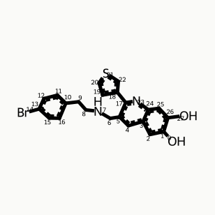 Oc1cc2cc(CNCCc3ccc(Br)cc3)c(-c3ccsc3)nc2cc1O